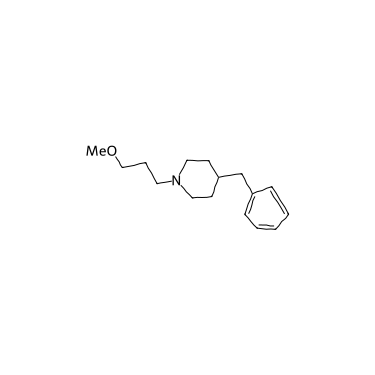 COCCCN1CCC(Cc2ccccc2)CC1